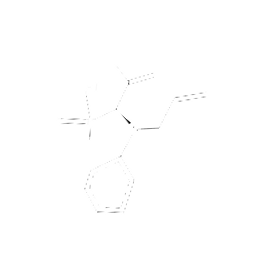 C=CCN(c1ccccc1)[C@H](C(=O)O)P(=O)(O)O